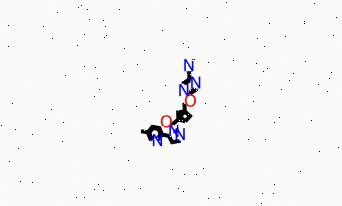 Cc1ccc(C2CC=NN2C(=O)C2CC3(COc4cnc(C#N)cn4)CC2C3)nc1